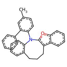 Cc1ccc(N2c3ccccc3CCCc3c2oc2ccccc32)c(-c2ccccc2)c1